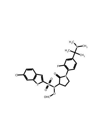 CN(C)C(C)(C)c1ccc(N2CCC(N(OC=O)S(=O)(=O)c3cc4ccc(Cl)cc4s3)C2=O)c(F)c1